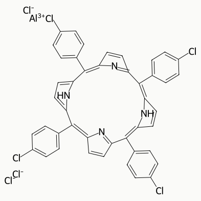 Clc1ccc(-c2c3nc(c(-c4ccc(Cl)cc4)c4ccc([nH]4)c(-c4ccc(Cl)cc4)c4nc(c(-c5ccc(Cl)cc5)c5ccc2[nH]5)C=C4)C=C3)cc1.[Al+3].[Cl-].[Cl-].[Cl-]